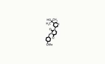 COc1ccc(Cn2c(=O)ccn(-c3cncc(C(C)(C)O)c3)c2=O)cc1